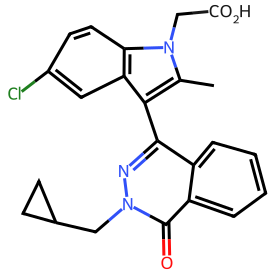 Cc1c(-c2nn(CC3CC3)c(=O)c3ccccc23)c2cc(Cl)ccc2n1CC(=O)O